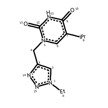 CCn1cc(Cn2cc(C(C)C)c(=O)[nH]c2=O)nn1